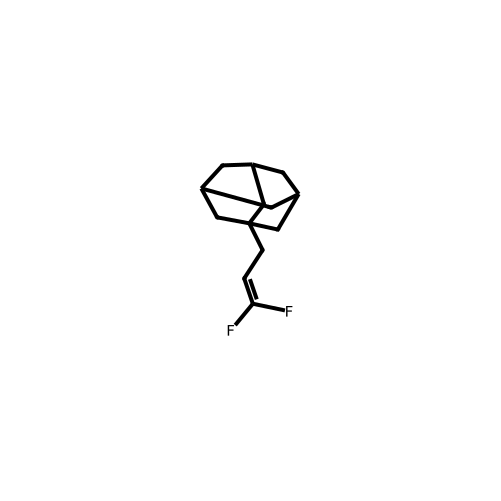 FC(F)=CCC12CC3CC(CC(C3)C1)C2